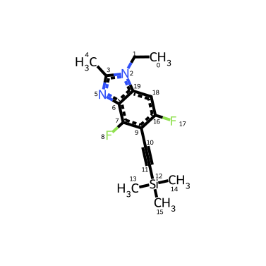 CCn1c(C)nc2c(F)c(C#C[Si](C)(C)C)c(F)cc21